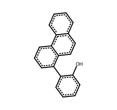 Oc1ccccc1-c1cccc2c1ccc1ccccc12